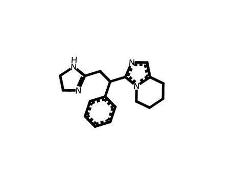 c1ccc(C(CC2=NCCN2)c2ncc3n2CCCC3)cc1